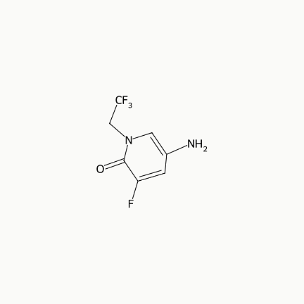 Nc1cc(F)c(=O)n(CC(F)(F)F)c1